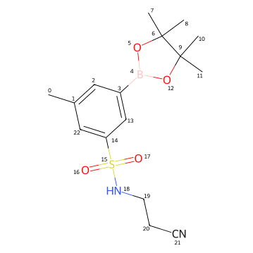 Cc1cc(B2OC(C)(C)C(C)(C)O2)cc(S(=O)(=O)NCCC#N)c1